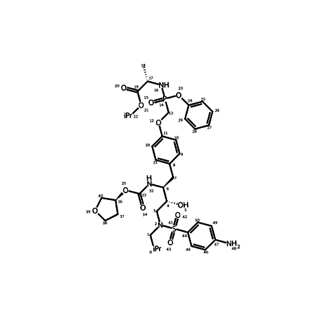 CC(C)CN(C[C@@H](O)[C@H](Cc1ccc(OCP(=O)(N[C@@H](C)C(=O)OC(C)C)Oc2ccccc2)cc1)NC(=O)O[C@H]1CCOC1)S(=O)(=O)c1ccc(N)cc1